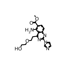 COC(=O)c1ccc2nc(-n3ccnc3)nc(CCOCCO)c2c1N